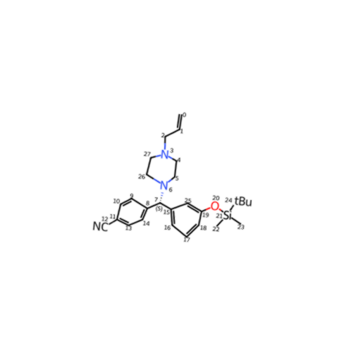 C=CCN1CCN([C@@H](c2ccc(C#N)cc2)c2cccc(O[Si](C)(C)C(C)(C)C)c2)CC1